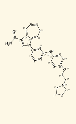 NC(=O)c1cn(-c2ccnc(Nc3ccc(OCCN4CCCC4)cc3)n2)c2c1=CC=CCC=2